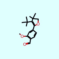 COc1cc(C2=C(C(C)(C)C)C(C)(C)CO2)ccc1C=O